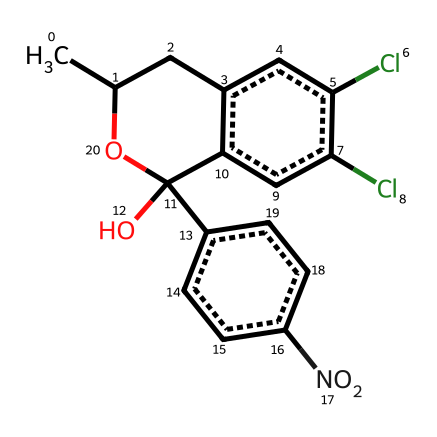 CC1Cc2cc(Cl)c(Cl)cc2C(O)(c2ccc([N+](=O)[O-])cc2)O1